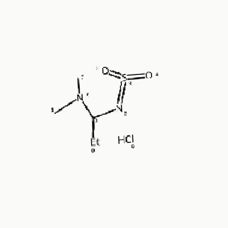 CCC(N=S(=O)=O)N(C)C.Cl